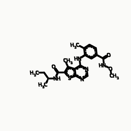 CC[C@H](C)NC(=O)c1sc2ncnc(Nc3cc(C(=O)NOC)ccc3C)c2c1C